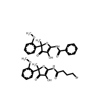 COc1ccccc1C1(C)OC(NC(=O)CCCBr)=C(O)C1=O.COc1ccccc1C1(C)OC(NC(=O)c2ccccc2)=C(O)C1=O